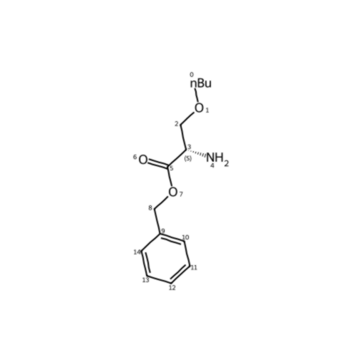 CCCCOC[C@H](N)C(=O)OCc1ccccc1